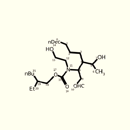 CCCCCCCCCCCCCC(C(C)O)C(CC=O)N(CCO)C(=O)OCC(CC)CCCC